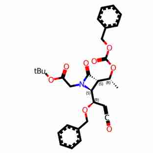 C[C@@H](OC(=O)OCc1ccccc1)[C@H]1C(=O)N(CC(=O)OC(C)(C)C)[C@@H]1[C@@H](C=C=O)OCc1ccccc1